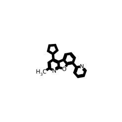 Cc1cc(C2CCCC2)c2c(n1)oc1c(-c3ccccn3)cccc12